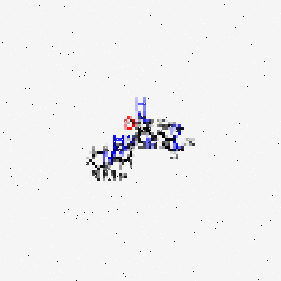 CN[C@@H]1CCCN(c2cccc(Nc3cnc(-c4ccnc5c4ccn5C)c4c3C(=O)NC4)n2)C1